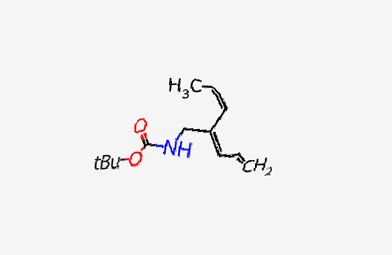 C=C/C=C(\C=C/C)CNC(=O)OC(C)(C)C